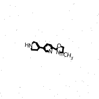 C[C@H]1COC(c2ccc(C3=CCNCC3)cn2)=N1